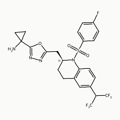 NC1(c2nnc(C[C@@H]3CCc4cc(C(C(F)(F)F)C(F)(F)F)ccc4N3S(=O)(=O)c3ccc(F)cc3)o2)CC1